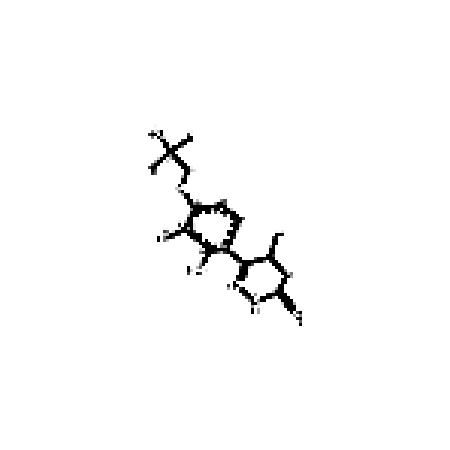 CC1CC(=O)NN=C1c1ccc(OCC(C)(C)O)c(Cl)c1O